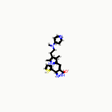 Cc1[nH]c(/C=C2/C(=O)NN=C2c2cccs2)c(C)c1CCN(C)c1ccncc1